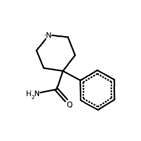 NC(=O)C1(c2ccccc2)CC[N]CC1